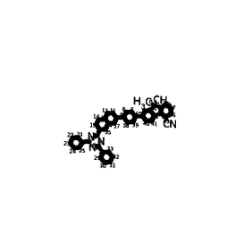 CC1(C)c2cc(-c3ccc(-c4ccc5ccc(-c6nc(-c7ccccc7)nc(-c7ccccc7)n6)cc5c4)cc3)ccc2-c2c(C#N)cccc21